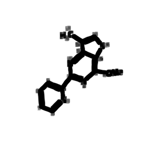 COc1nc(-c2ccccn2)nc2c(C)csc12